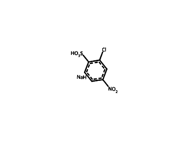 O=[N+]([O-])c1ccc(S(=O)(=O)O)c(Cl)c1.[NaH]